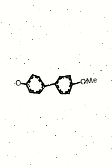 COc1ccc(-c2ccc([O])cc2)cc1